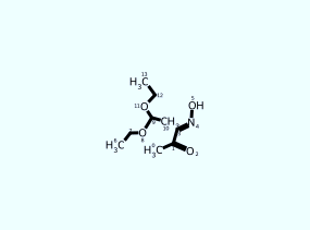 CC(=O)/C=N/O.CCOC(C)OCC